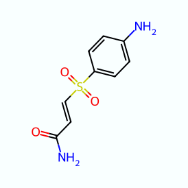 NC(=O)/C=C/S(=O)(=O)c1ccc(N)cc1